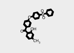 Cc1ccc(C(=O)c2ccc(Oc3ccc(S(=O)(=O)c4ccccc4)cc3)cc2)c(O)c1